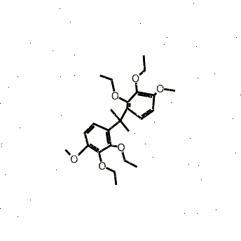 CCOc1c(OC)ccc(C(C)(C)c2ccc(OC)c(OCC)c2OCC)c1OCC